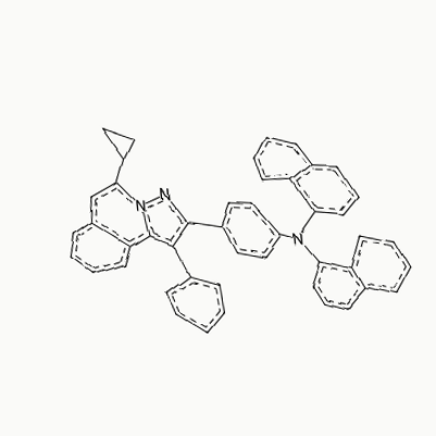 c1ccc(-c2c(-c3ccc(N(c4cccc5ccccc45)c4cccc5ccccc45)cc3)nn3c(C4CC4)cc4ccccc4c23)cc1